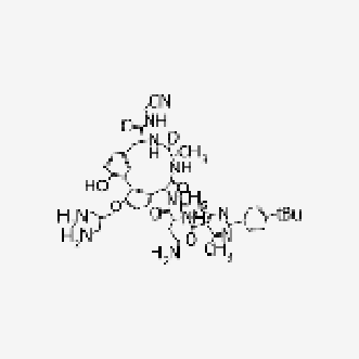 Cc1nc(-c2ccc(C(C)(C)C)cc2)nc(C)c1C(=O)N[C@@H](CCN)C(=O)N(C)[C@@H]1C(=O)N[C@@H](C)C(=O)N[C@H](C(=O)NCC#N)Cc2ccc(O)c(c2)-c2cc1ccc2OCC(CN)CN